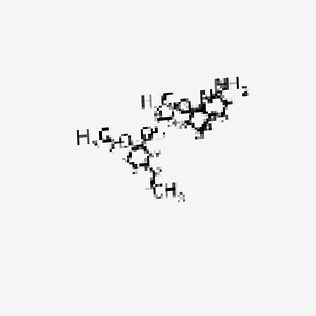 C/C=C/c1ccc(OCC)c(OCCCC(C)Oc2cccc3ccc(N)nc23)c1